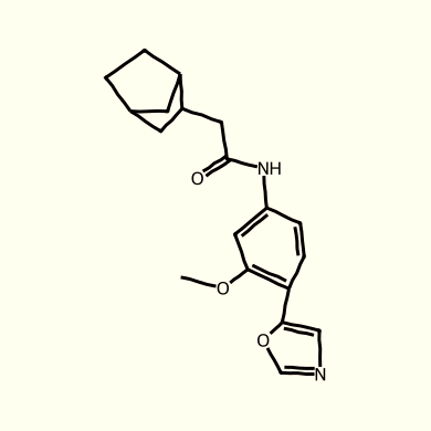 COc1cc(NC(=O)CC2CC3CCC2C3)ccc1-c1cnco1